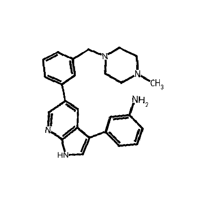 CN1CCN(Cc2cccc(-c3cnc4[nH]cc(-c5cccc(N)c5)c4c3)c2)CC1